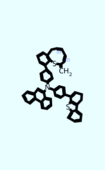 C=C1/C=C\C=C/Cc2cccc(-c3ccc(N(c4ccc(C5=CCCc6c5sc5ccccc65)cc4)c4cc5ccccc5c5ccccc45)cc3)c2S1